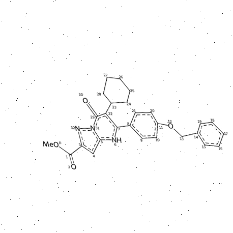 COC(=O)c1cc2[nH]c(-c3ccc(OCc4ccccc4)cc3)c(C3CCCCC3)c(=O)n2n1